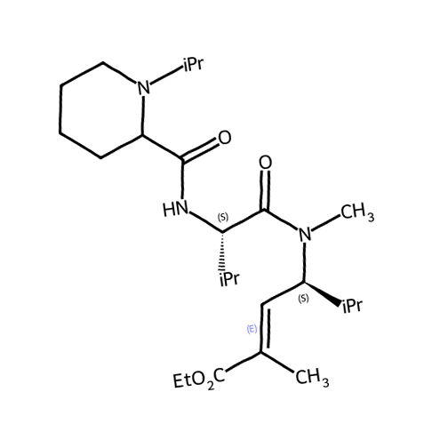 CCOC(=O)/C(C)=C/[C@H](C(C)C)N(C)C(=O)[C@@H](NC(=O)C1CCCCN1C(C)C)C(C)C